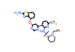 CC(C)CN1CCCC[C@@H]1C(C)(C)Nc1nc(C(F)(F)F)ccc1-c1cc(Oc2cccc3sc(N)nc23)ncn1